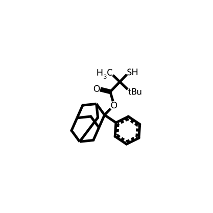 CC(C)(C)C(C)(S)C(=O)OC1(c2ccccc2)C2CC3CC(C2)CC1C3